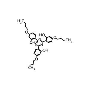 CCCCOc1ccc(-c2nc(-c3ccc(OCCCC)cc3O)nc(-c3ccc(OCCCC)cc3O)n2)c(O)c1